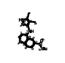 Cc1[nH]nc(Nc2ccnc3ccc([S+]([O-])C(C)(C)C)cc23)c1C